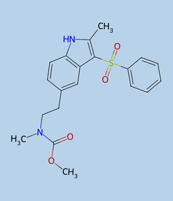 COC(=O)N(C)CCc1ccc2[nH]c(C)c(S(=O)(=O)c3ccccc3)c2c1